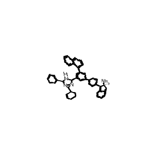 C[C@]1(N)C=c2ccccc2=C1c1ccc(-c2cc(-c3cccc4ccccc34)cc(C3NC(C4=CC=CCC4)N4C(C5C=CC=CC5)N34)c2)cc1